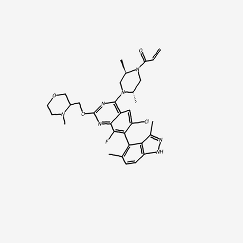 C=CC(=O)N1C[C@H](C)N(c2nc(OCC3COCCN3C)nc3c(F)c(-c4c(C)ccc5[nH]nc(C)c45)c(Cl)cc23)C[C@H]1C